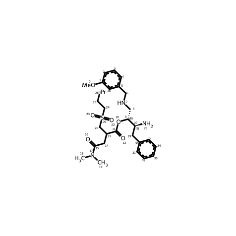 COc1cccc(CNC[C@@H](OC(=O)C(CC(=O)N(C)C)CS(=O)(=O)CCC(C)C)[C@@H](N)Cc2ccccc2)c1